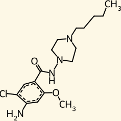 CCCCCN1CCN(NC(=O)c2cc(Cl)c(N)cc2OC)CC1